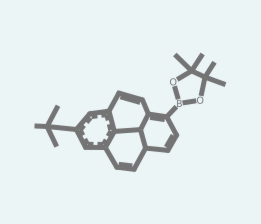 CC(C)(C)c1cc2c3c(c1)C=CC1C=CC(B4OC(C)(C)C(C)(C)O4)=C(C=C2)C31